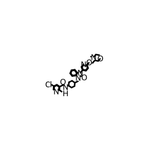 Cc1ncc(Cl)cc1C(=O)NC1CCC(Cn2c(=O)n(-c3ccc(OCC4COCCN4C)nc3)c3ccccc32)CC1